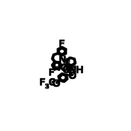 O=S(=O)(N[C@H]1CCC[C@@H](N2c3ccc(F)cc3CCc3cc(F)ccc32)[C@@H]1O)c1ccc(OC(F)(F)F)cc1